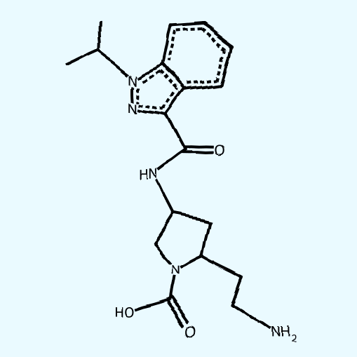 CC(C)n1nc(C(=O)NC2CC(CCN)N(C(=O)O)C2)c2ccccc21